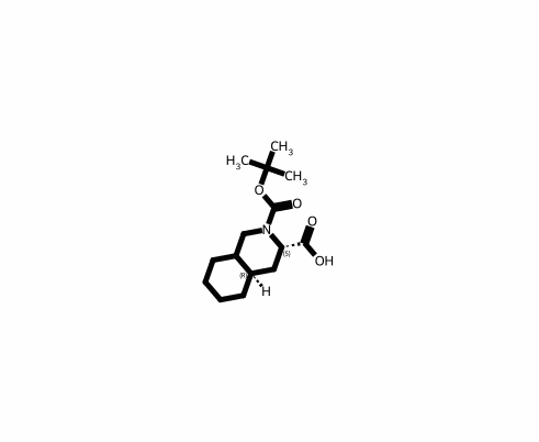 CC(C)(C)OC(=O)N1CC2CCCC[C@@H]2C[C@H]1C(=O)O